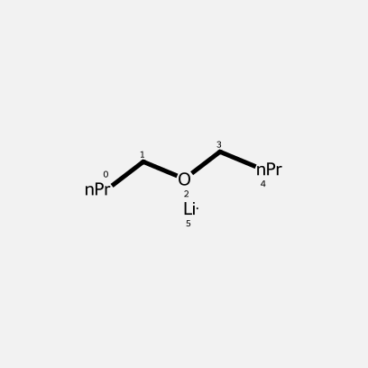 CCCCOCCCC.[Li]